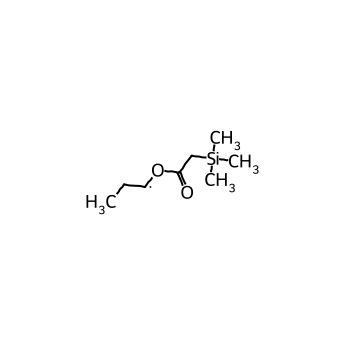 CC[CH]OC(=O)C[Si](C)(C)C